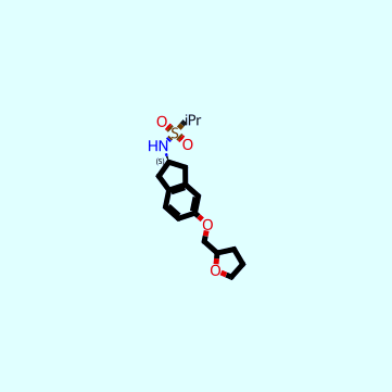 CC(C)S(=O)(=O)N[C@H]1Cc2ccc(OCC3CCCO3)cc2C1